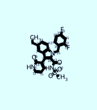 CCc1ccc2c(c1)c(-c1ccc[nH]c1=O)c(C(=O)NS(C)(=O)=O)n2Cc1ccc(F)cc1F